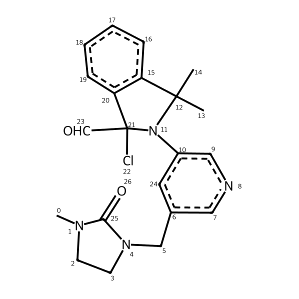 CN1CCN(Cc2cncc(N3C(C)(C)c4ccccc4C3(Cl)C=O)c2)C1=O